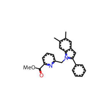 COC(=O)c1cccc(Cn2c(-c3ccccc3)cc3cc(C)c(C)cc32)n1